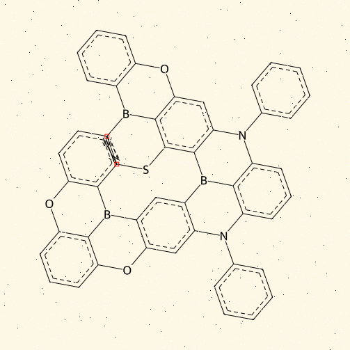 c1ccc(N2c3cc4c(cc3B3c5c2cccc5N(c2ccccc2)c2cc5c6c(c23)Sc2ccccc2B6c2ccccc2O5)B2c3ccccc3Oc3cccc(c32)O4)cc1